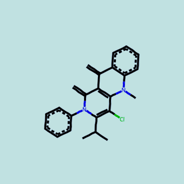 C=C1C2=C(C(Cl)=C(C(C)C)N(c3ccccc3)C2=C)N(C)c2ccccc21